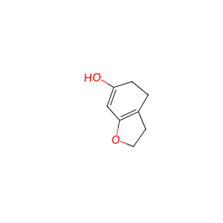 OC1=CC2=C(CCO2)CC1